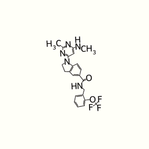 CNc1cc(N2CCc3cc(C(=O)NCc4ccccc4OC(F)(F)F)ccc32)nc(C)n1